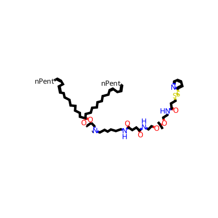 CCCCC/C=C\C/C=C\CCCCCCCCC1(CCCCCCCC/C=C\C/C=C\CCCCC)OCC(CN(C)CCCCCCNC(=O)CCC(=O)NCCOC(C)(C)OCCNC(=O)CCSSc2ccccn2)O1